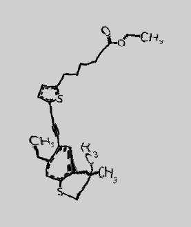 CCOC(=O)CCCCc1ccc(C#Cc2cc3c(cc2CC)SCCC3(C)C)s1